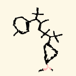 CB(C)c1ccc(C(C(C)(C)C)C(C)(C)CC(C)C(C2=CC=C(C)C=CC2)C(C)(C)C)cc1